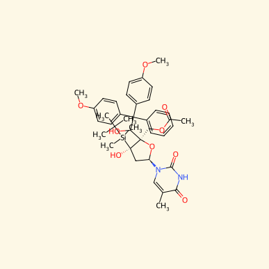 COc1ccc(C(c2ccccc2)(c2ccc(OC)cc2)C(O)[C@@]2(COC(C)=O)O[C@@H](n3cc(C)c(=O)[nH]c3=O)C[C@@]2(O)[Si](C)(C)C(C)(C)C)cc1